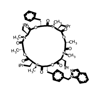 CC(C)C[C@H]1C(=O)O[C@H](Cc2ccc(Cn3ncc4ccccc43)cc2)C(=O)N(C)[C@@H](CC(C)C)C(=O)O[C@H](C)C(=O)N(C)[C@@H](CC(C)C)C(=O)O[C@H](Cc2ccccc2)C(=O)N(C)[C@@H](CC(C)C)C(=O)O[C@H](C)C(=O)N1C